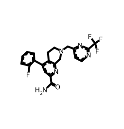 NC(=O)c1cc(-c2ccccc2F)c2c(n1)CN(Cc1ccnc(C(F)(F)F)n1)CC2